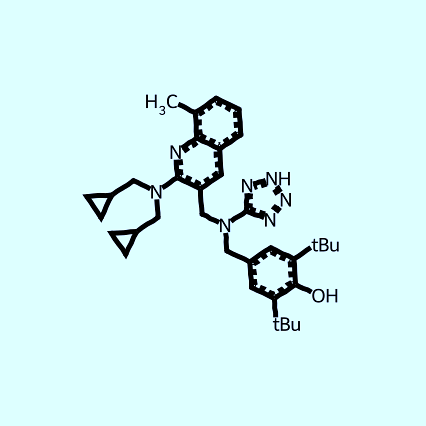 Cc1cccc2cc(CN(Cc3cc(C(C)(C)C)c(O)c(C(C)(C)C)c3)c3nn[nH]n3)c(N(CC3CC3)CC3CC3)nc12